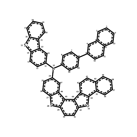 c1ccc2cc(-c3ccc(N(c4ccc5sc6ccccc6c5c4)c4ccc5sc6ccc7oc8c9ccccc9ccc8c7c6c5c4)cc3)ccc2c1